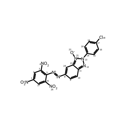 O=[N+]([O-])c1cc([N+](=O)[O-])c(N=Nc2ccc3nn(-c4ccc(Cl)cc4)[n+]([O-])c3c2)c([N+](=O)[O-])c1